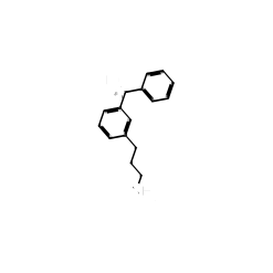 NCCCc1cccc([C@H](O)c2ccccc2)c1